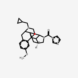 COc1ccc2c(c1)C13CCN(CC4CC4)C(C2)C12CCC1C3[C@@H](CN1C(=O)n1ccnc1)C2